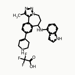 Cc1nnn2c1-c1ccc(C3=CCNCC3)cc1C(Nc1cccc3[nH]ccc13)CC2.O=C(O)C(F)(F)F